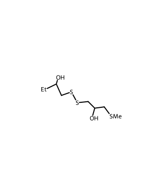 CCC(O)CSSCC(O)CSC